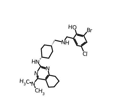 CN(C)c1nc(N[C@H]2CC[C@@H](CNCc3cc(Cl)cc(Br)c3O)CC2)nc2c1CCCC2